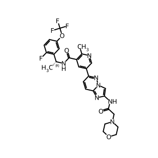 Cc1ncc(-c2ccc3nc(NC(=O)CN4CCOCC4)cn3n2)cc1C(=O)N[C@H](C)c1cc(OC(F)(F)F)ccc1F